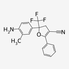 Cc1cc(C2(C(F)(F)F)CC(C#N)=C(c3ccccc3)O2)ccc1N